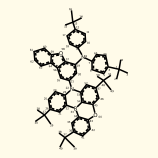 CC(C)(C)c1ccc(N(c2ccc(C(C)(C)C)cc2)c2cc(N3c4ccc(C(C)(C)C)cc4B4c5cc(C(C)(C)C)ccc5Oc5cc(C(C)(C)C)cc3c54)cc3c2oc2ccccc23)cc1